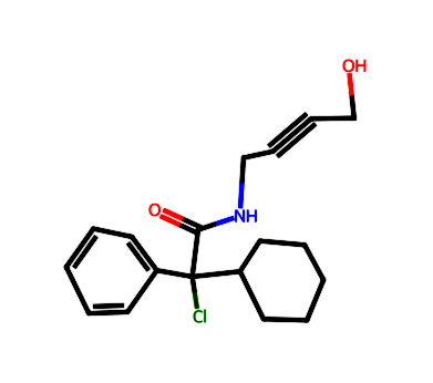 O=C(NCC#CCO)C(Cl)(c1ccccc1)C1CCCCC1